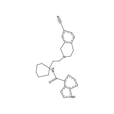 N#Cc1ccc2c(c1)CN(CCC1(NC(=O)c3cccc4[nH]ccc34)CCCCC1)CC2